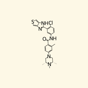 Cc1cc(N2C[C@@H](C)N(C)[C@@H](C)C2)ccc1C(=O)Nc1ccc(Cl)c(-c2nc3cscc3[nH]2)c1